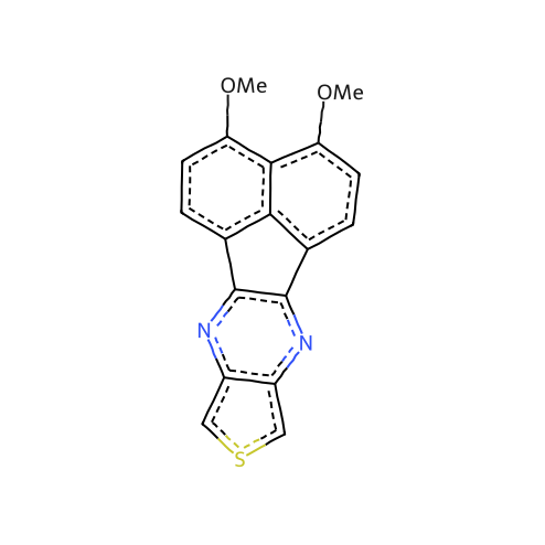 COc1ccc2c3c(ccc(OC)c13)-c1nc3cscc3nc1-2